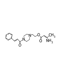 C/C(N)=C/C(=O)OCCN1CCN(C(=O)/C=C/c2ccccc2)CC1